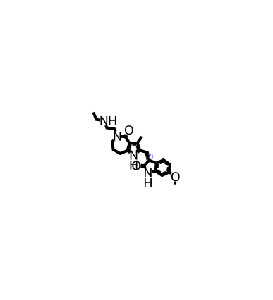 CCNCCN1CCCc2[nH]c(/C=C3\C(=O)Nc4cc(OC)ccc43)c(C)c2C1=O